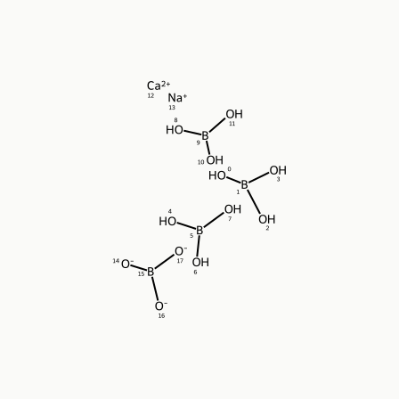 OB(O)O.OB(O)O.OB(O)O.[Ca+2].[Na+].[O-]B([O-])[O-]